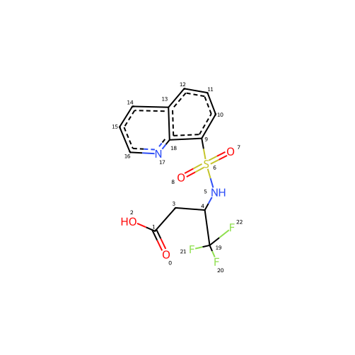 O=C(O)CC(NS(=O)(=O)c1cccc2cccnc12)C(F)(F)F